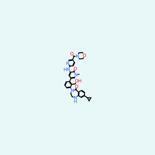 Cn1cc(-c2cccc(N3CCNc4cc(C5CC5)ccc4C3=O)c2CO)cc(Nc2ccc(C(=O)N3CCOCC3)cn2)c1=O